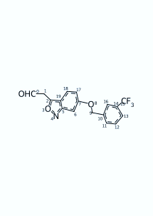 O=CCc1onc2cc(OCc3cccc(C(F)(F)F)c3)ccc12